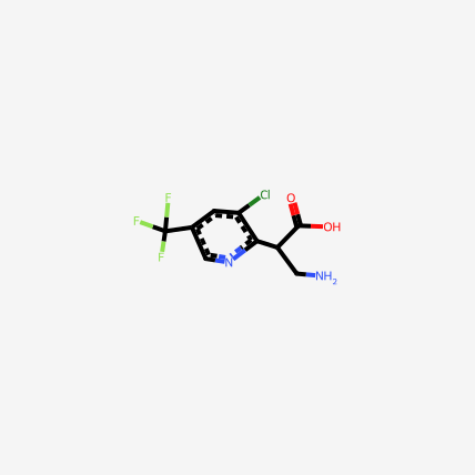 NCC(C(=O)O)c1ncc(C(F)(F)F)cc1Cl